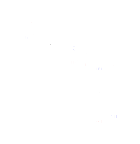 Cc1cc(C(=O)Nc2cc(C(c3ccc(O)c(N)c3)(C(F)(F)F)C(F)(F)F)ccc2O)c(O)c(C(=O)Nc2cc(C(c3ccc(O)c(N)c3)(C(F)(F)F)C(F)(F)F)ccc2O)c1